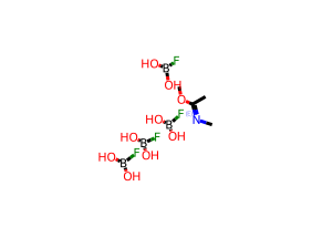 C/N=C(\C)OC.OB(O)F.OB(O)F.OB(O)F.OB(O)F